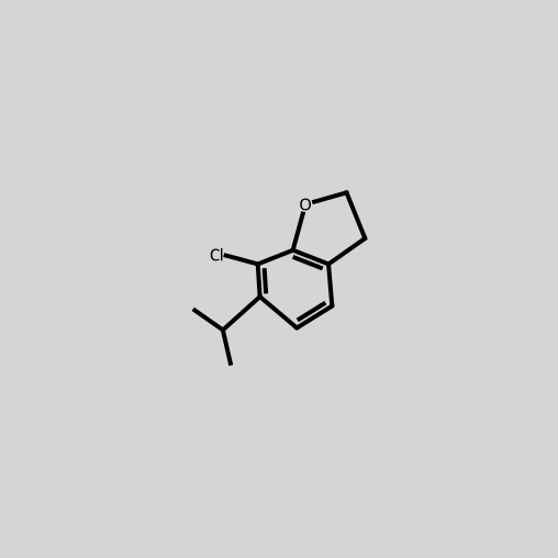 CC(C)c1ccc2c(c1Cl)OCC2